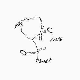 CCCCCCS(=O)(=O)C1CNCCN1.CNC